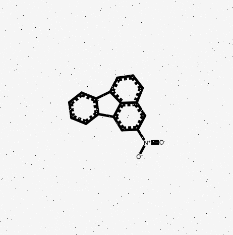 O=[N+]([O-])c1cc2c3c(cccc3c1)-c1ccccc1-2